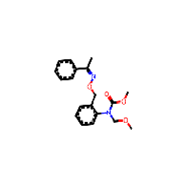 COCN(C(=O)OC)c1ccccc1CON=C(C)c1ccccc1